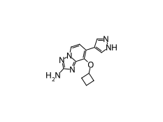 Nc1nc2c(OC3CCC3)c(-c3cn[nH]c3)ccn2n1